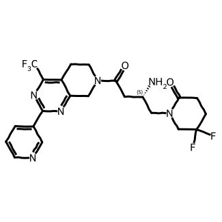 N[C@@H](CC(=O)N1CCc2c(nc(-c3cccnc3)nc2C(F)(F)F)C1)CN1CC(F)(F)CCC1=O